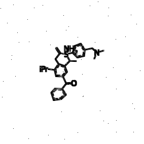 C=C1Cc2c(C(C)C)cc(C(=O)c3ccccc3)cc2C(C)S1(N)c1ccc(CN(C)C)cc1